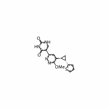 COc1nnc(-c2c[nH]c(=O)[nH]c2=O)cc1[C@H]1C[C@@H]1c1cccs1